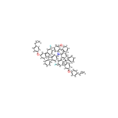 C=Cc1ccc(Oc2ccc(C3(c4ccc(F)cc4)c4ccccc4-c4ccc(N(c5ccc6c(c5)C(c5ccc(F)cc5)(c5ccc(Oc7ccc(C=C)cc7)cc5)c5ccccc5-6)c5cccc6oc7ccccc7c56)cc43)cc2)cc1